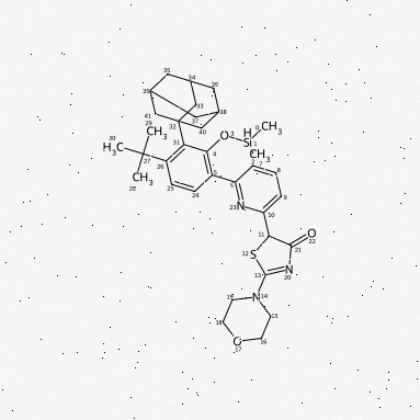 C[SiH](C)Oc1c(-c2cccc(C3SC(N4CCOCC4)=NC3=O)n2)ccc(C(C)(C)C)c1C12CC3CC(CC(C3)C1)C2